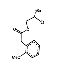 CCCCC(CC)COC(=O)Cc1ccccc1OC